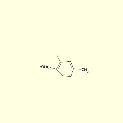 Cc1ccc([C]=O)c(F)c1